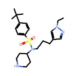 CCn1cc(CCCN(C2CCNCC2)S(=O)(=O)c2ccc(C(C)(C)C)cc2)cn1